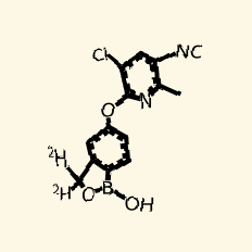 [2H]C1([2H])OB(O)c2ccc(Oc3nc(C)c([N+]#[C-])cc3Cl)cc21